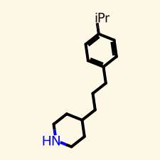 CC(C)c1ccc(CCCC2CCNCC2)cc1